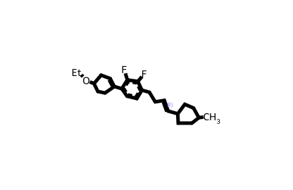 CCOC1CC=C(c2ccc(CC/C=C/C3CCC(C)CC3)c(F)c2F)CC1